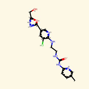 Cc1ccc(NC(=O)NCCNc2ncc(-c3nnc(CO)o3)cc2Cl)nc1